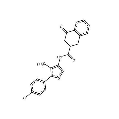 O=C1CC(C(=O)Nc2csc(-c3ccc(Cl)cc3)c2C(=O)O)Cc2ccccc21